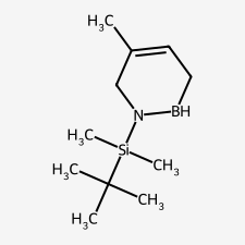 CC1=CCBN([Si](C)(C)C(C)(C)C)C1